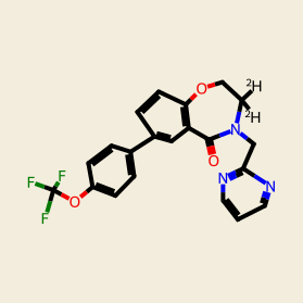 [2H]C1([2H])COc2ccc(-c3ccc(OC(F)(F)F)cc3)cc2C(=O)N1Cc1ncccn1